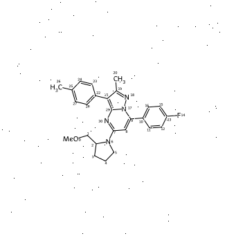 COCC1CCCN1c1cc(-c2ccc(F)cc2)n2nc(C)c(-c3ccc(C)cc3)c2n1